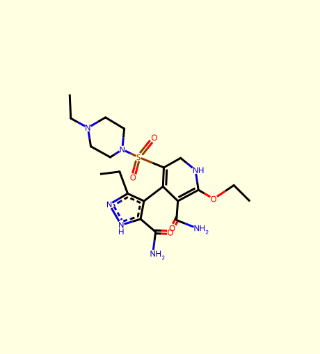 CCOC1=C(C(N)=O)C(c2c(CC)n[nH]c2C(N)=O)=C(S(=O)(=O)N2CCN(CC)CC2)CN1